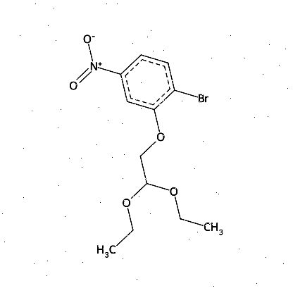 CCOC(COc1cc([N+](=O)[O-])ccc1Br)OCC